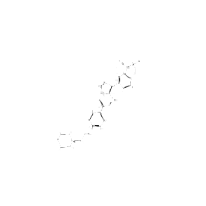 CC(F)(F)C(N)c1cccc(-c2cnn3cc(-c4ccc(OCCN5CCCCC5)cc4)cnc23)c1